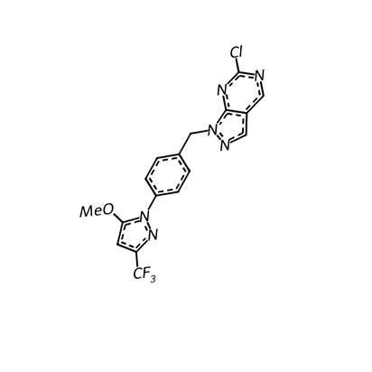 COc1cc(C(F)(F)F)nn1-c1ccc(Cn2ncc3cnc(Cl)nc32)cc1